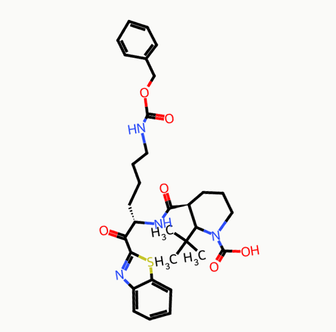 CC(C)(C)C1[C@@H](C(=O)N[C@@H](CCCCNC(=O)OCc2ccccc2)C(=O)c2nc3ccccc3s2)CCCN1C(=O)O